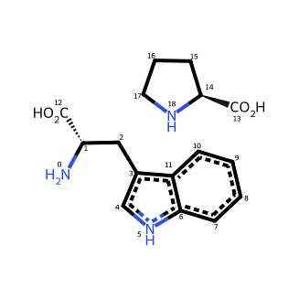 N[C@@H](Cc1c[nH]c2ccccc12)C(=O)O.O=C(O)[C@@H]1CCCN1